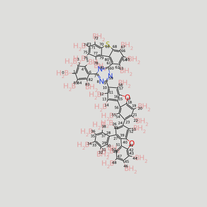 Bc1c(B)c(B)c(-c2nc(-c3c(B)c(B)c4c(oc5c(B)c(B)c(-c6c(B)c(-c7c(B)c(B)c(B)c(B)c7B)c7c(oc8c(B)c(B)c(B)c(B)c87)c6B)c(B)c54)c3B)nc(-c3c(B)c(B)c(B)c4sc5c(B)c(B)c(B)c(B)c5c34)n2)c(B)c1B